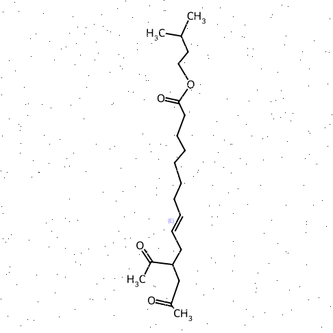 CC(=O)CC(C/C=C/CCCCCCC(=O)OCCC(C)C)C(C)=O